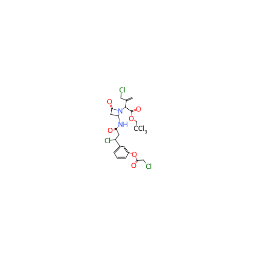 C=C(CCl)C(C(=O)OCC(Cl)(Cl)Cl)N1C(=O)CC1NC(=O)CC(Cl)c1cccc(OC(=O)CCl)c1